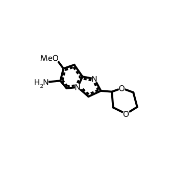 COc1cc2nc(C3COCCO3)cn2cc1N